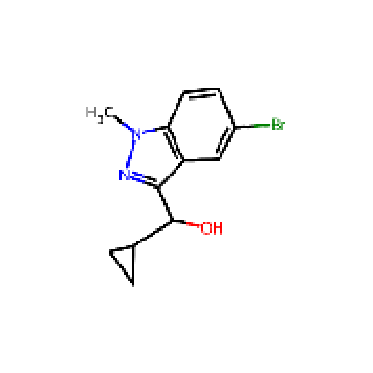 Cn1nc(C(O)C2CC2)c2cc(Br)ccc21